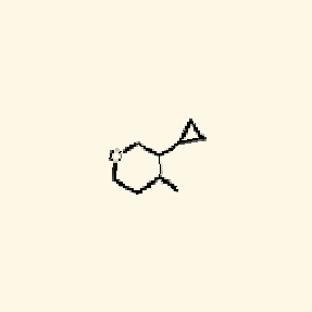 CC1CCOCC1C1CC1